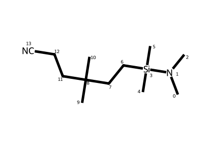 CN(C)[Si](C)(C)CCC(C)(C)CCC#N